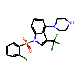 O=S(=O)(c1ccccc1Cl)n1cc(C(F)(F)F)c2c(N3CCNCC3)cccc21